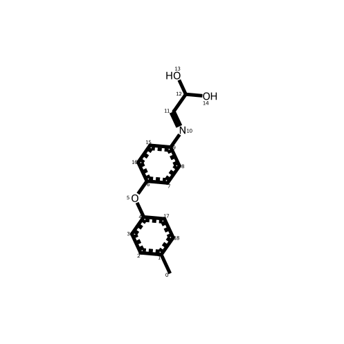 Cc1ccc(Oc2ccc(/N=C/C(O)O)cc2)cc1